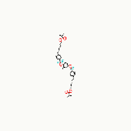 C=C(C)C(=O)OCCCCCCc1ccc(C(F)(F)Oc2ccc(OC(F)(F)c3ccc(CCCCCCOC(=O)C(=C)C)cc3)c(C)c2)cc1